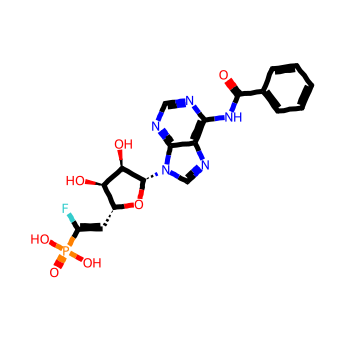 O=C(Nc1ncnc2c1ncn2[C@@H]1O[C@H](/C=C(\F)P(=O)(O)O)[C@@H](O)[C@H]1O)c1ccccc1